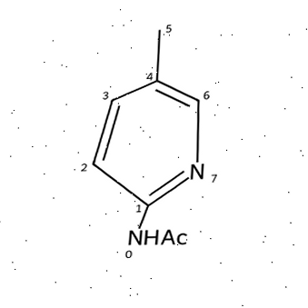 CC(=O)Nc1ccc(C)cn1